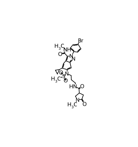 CNC(=O)c1c2cc(C3CC3)c(N(CCCNC(=O)C3CC(=O)N(C)C3)S(C)(=O)=O)cc2nn1-c1ccc(Br)cc1